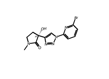 CN1CC[C@@](O)(c2cn(-c3cccc(Br)n3)nn2)C1=O